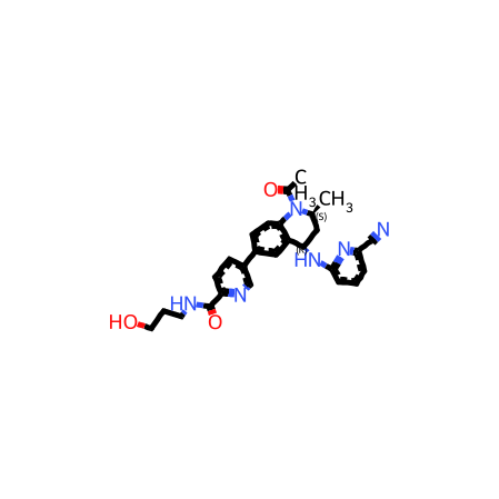 CC(=O)N1c2ccc(-c3ccc(C(=O)NCCCO)nc3)cc2[C@H](Nc2cccc(C#N)n2)C[C@@H]1C